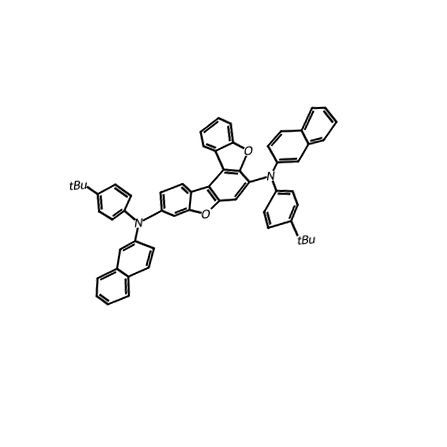 CC(C)(C)c1ccc(N(c2ccc3ccccc3c2)c2ccc3c(c2)oc2cc(N(c4ccc(C(C)(C)C)cc4)c4ccc5ccccc5c4)c4oc5ccccc5c4c23)cc1